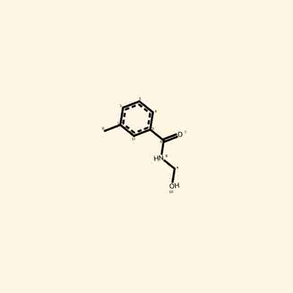 Cc1cccc(C(=O)NCO)c1